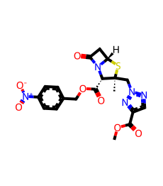 COC(=O)c1cnn(C[C@]2(C)S[C@H]3CC(=O)N3[C@H]2C(=O)OCc2ccc([N+](=O)[O-])cc2)n1